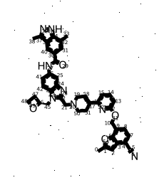 Cc1cc2c(C#N)ccc(COc3cccc(C4=CCN(Cc5nc6cc(NC(=O)c7cc(C)c8[nH]nc(C)c8c7)ccc6n5C[C@@H]5CCO5)CC4)n3)c2o1